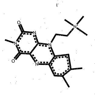 Cc1cc2nc3c(=O)n(C)c(=O)nc-3n(CC[N+](C)(C)C)c2cc1C.[I-]